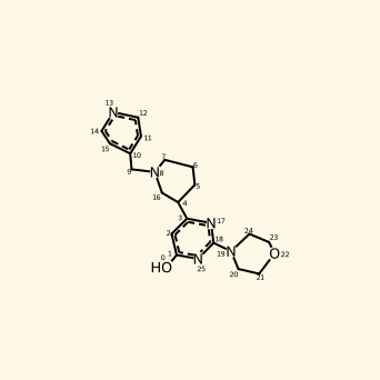 Oc1cc(C2CCCN(Cc3ccncc3)C2)nc(N2CCOCC2)n1